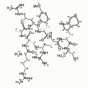 COc1ccc(C[C@@H](NC(=O)[C@H](CCCNC(=N)N)NC(=O)[C@@H](C)NC(=O)[C@H](CS)NC(=O)[C@@H](N)CCCNC(=N)N)C(=O)N[C@@H](CCCNC(=N)N)C(=O)N[C@H](Cc2c[nH]c3ccccc23)C(=O)N[C@@H](CS)C(=O)O)cc1